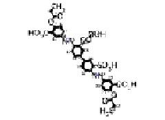 C=CC(=O)Oc1ccc(/N=N/c2ccc(-c3ccc(/N=N/c4ccc(OC(=O)C=C)c(C(=O)O)c4)c(S(=O)(=O)O)c3)cc2SOOO)cc1C(=O)O